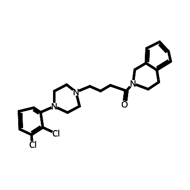 O=C(CCCN1CCN(c2cccc(Cl)c2Cl)CC1)N1CCc2ccccc2C1